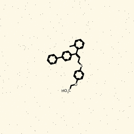 Cc1ccccc1C(=CCSc1ccc(OCC(=O)O)cc1)c1ccc(-c2ccccc2)cc1